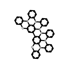 c1ccc2c(c1)Oc1cc3c4c5c1B2c1ccccc1N5c1ccccc1B4N1c2ccccc2N2c4ccccc4B4c5ccccc5Oc5cc-3c1c2c54